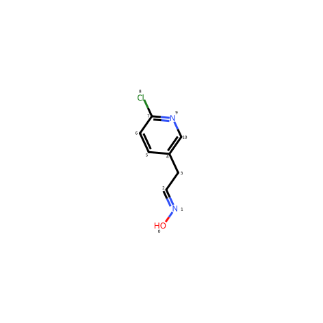 ON=CCc1ccc(Cl)nc1